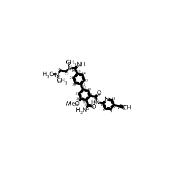 C#Cc1ccc(NC(=O)c2cc(-c3ccc(C(=N)N(C)CCN(C)C)cc3)cc(OC)c2C(N)=O)nc1